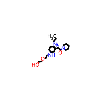 CCCn1nc(C(=O)N2CCCCC2)c2c1CCC(NCCOCCO)C2